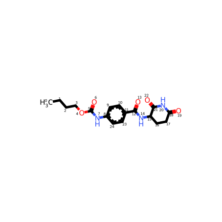 CCCCOC(=O)Nc1ccc(C(=O)NC2CCC(=O)NC2=O)cc1